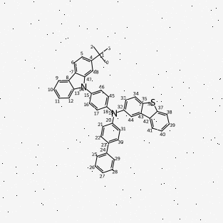 CC(C)(C)c1ccc2c3ccccc3n(-c3ccc(N(c4ccc(-c5ccccc5)cc4)c4ccc5sc6ccccc6c5c4)cc3)c2c1